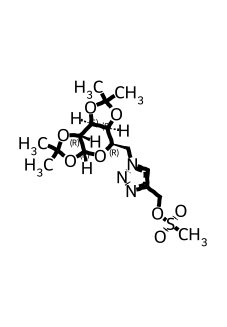 CC1(C)O[C@H]2[C@@H](O1)[C@@H](Cn1cc(COS(C)(=O)=O)nn1)O[C@@H]1OC(C)(C)O[C@@H]12